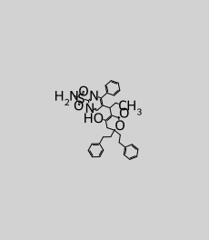 CCC(C1=C(O)CC(CCc2ccccc2)(CCc2ccccc2)OC1=O)c1cnc(S(N)(=O)=O)nc1-c1ccccc1